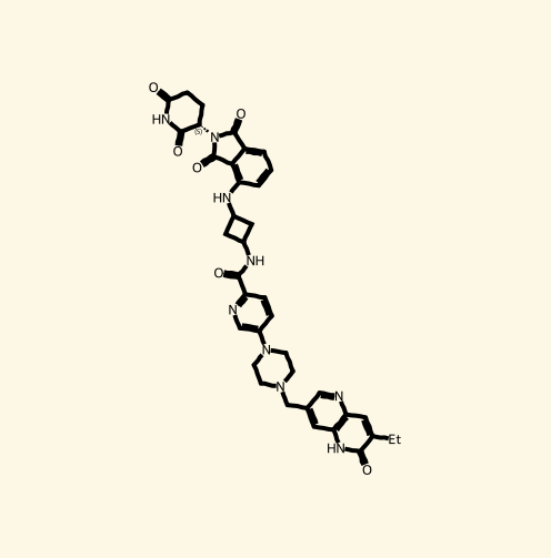 CCc1cc2ncc(CN3CCN(c4ccc(C(=O)NC5CC(Nc6cccc7c6C(=O)N([C@H]6CCC(=O)NC6=O)C7=O)C5)nc4)CC3)cc2[nH]c1=O